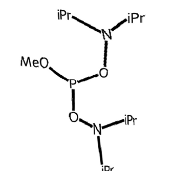 COP(ON(C(C)C)C(C)C)ON(C(C)C)C(C)C